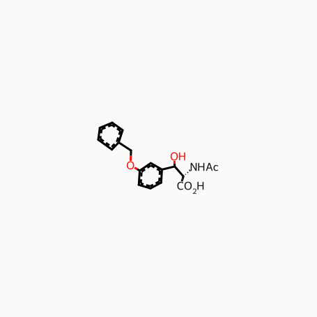 CC(=O)N[C@H](C(=O)O)C(O)c1cccc(OCc2ccccc2)c1